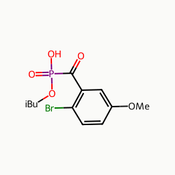 CCC(C)OP(=O)(O)C(=O)c1cc(OC)ccc1Br